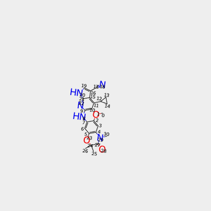 COc1cc2c(cc1Nc1cc(C3CC3)c3c(C#N)c[nH]c3n1)OC(C)(C)C(=O)N2C